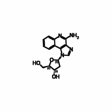 Nc1nc2ccccc2c2c1ncn2[C@H]1C[C@H](O)[C@@H](CO)O1